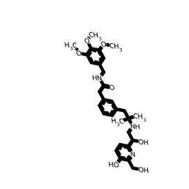 COc1cc(CNC(=O)Cc2cccc(CC(C)(C)NCC(O)c3ccc(O)c(CO)n3)c2)cc(OC)c1OC